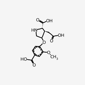 COc1cc(C(=O)O)ccc1OC1CN[C@H](C(=O)O)[C@H]1CC(=O)O